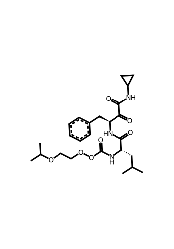 CC(C)C[C@H](NC(=O)OOCCOC(C)C)C(=O)N[C@@H](Cc1ccccc1)C(=O)C(=O)NC1CC1